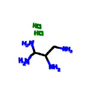 Cl.Cl.NCC(N)C(N)N